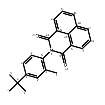 Cc1cc(C(C)(C)C)ccc1N1C(=O)c2cccc3cccc(c23)C1=O